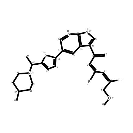 C=C(/C=C(F)\C=C(\F)COC)c1c[nH]c2ncc(-c3ccc(C(C)N4CCC(C)CC4)s3)cc12